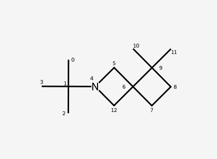 CC(C)(C)N1CC2(CCC2(C)C)C1